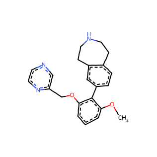 COc1cccc(OCc2cnccn2)c1-c1ccc2c(c1)CCNCC2